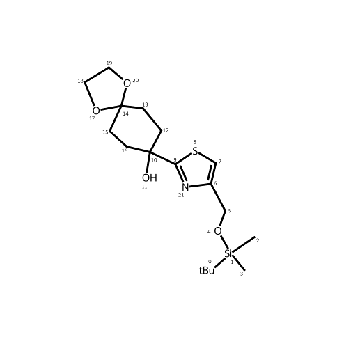 CC(C)(C)[Si](C)(C)OCc1csc(C2(O)CCC3(CC2)OCCO3)n1